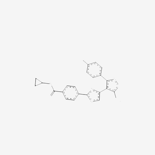 O=C(NC1CC1)c1ccc(-c2nc(-c3c(-c4ccc(F)cc4)noc3C(F)(F)F)c[nH]2)cc1